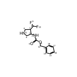 O=C(NC1CNCC1C(F)F)OCc1ccccc1